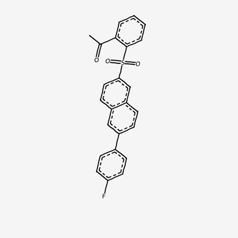 CC(=O)c1ccccc1S(=O)(=O)c1ccc2cc(-c3ccc(F)cc3)ccc2c1